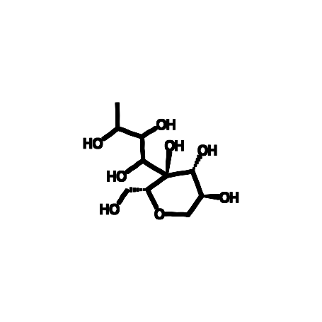 CC(O)C(O)C(O)[C@]1(O)[C@H](O)[C@@H](O)CO[C@@H]1CO